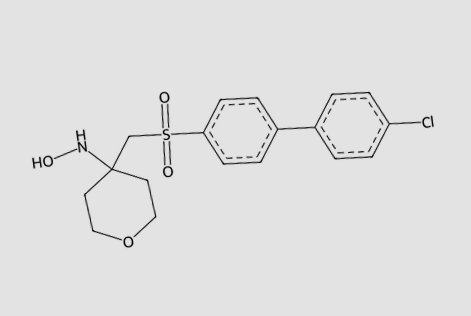 O=S(=O)(CC1(NO)CCOCC1)c1ccc(-c2ccc(Cl)cc2)cc1